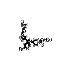 CC(C)(C)OC(=O)N1CCC(n2cc(-c3cnn(COCC[Si](C)(C)C)c3)c3cc(Br)ncc32)CC1